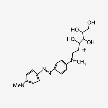 CNc1ccc(/N=N/c2ccc(N(C)C[C@@H](F)C(O)C(O)C(O)CO)cc2)cc1